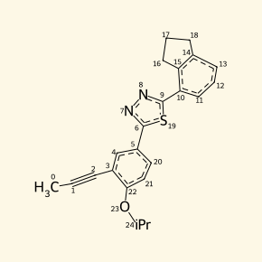 CC#Cc1cc(-c2nnc(-c3cccc4c3CCC4)s2)ccc1OC(C)C